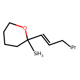 CC(C)CC=CC1([SiH3])CCCCO1